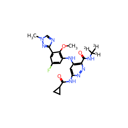 [2H]C([2H])([2H])NC(=O)c1nnc(NC(=O)C2CC2)cc1Nc1cc(F)cc(-c2ncn(C)n2)c1OC